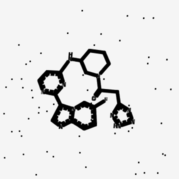 O=C(Cc1nn[nH]n1)N1CCCC(Nc2ccnc(-c3cnc4ccc(F)cn34)n2)C1